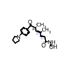 CC(/C=C/C(=O)NO)=C\[C@@H](C)C(=O)c1ccc(N2CCCC2)cc1